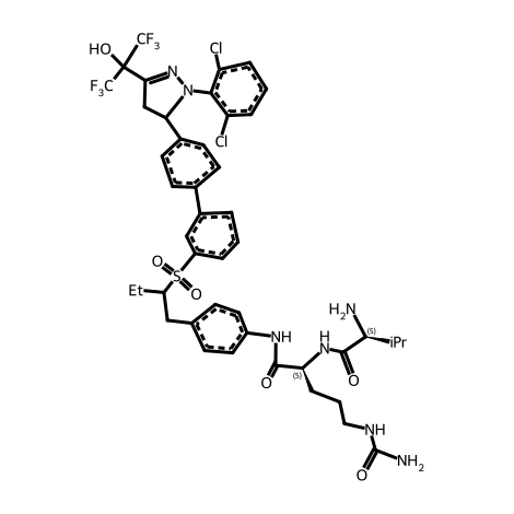 [CH2]CC(Cc1ccc(NC(=O)[C@H](CCCNC(N)=O)NC(=O)[C@@H](N)C(C)C)cc1)S(=O)(=O)c1cccc(-c2ccc(C3CC(C(O)(C(F)(F)F)C(F)(F)F)=NN3c3c(Cl)cccc3Cl)cc2)c1